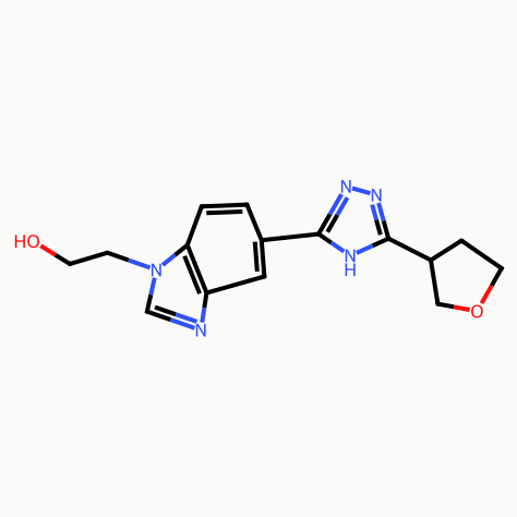 OCCn1cnc2cc(-c3nnc(C4CCOC4)[nH]3)ccc21